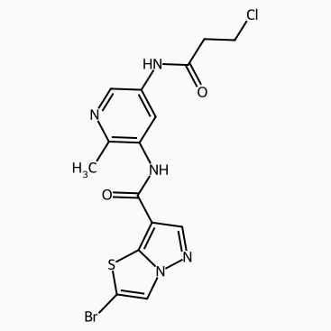 Cc1ncc(NC(=O)CCCl)cc1NC(=O)c1cnn2cc(Br)sc12